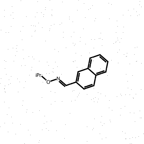 CC(C)ON=Cc1ccc2ccccc2c1